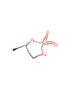 C[C@@H]1COS(=O)(=O)O1